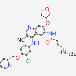 CC(C)(C)NC/C=C/C(=O)Nc1cc2c(Nc3ccc(OCc4ccccn4)c(Cl)c3)c(C#N)cnc2cc1OC1CCOC1